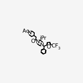 CC(=O)N1CCC(CC(=O)N2CCN([C@@H](c3ccccc3)c3ccc(C(F)(F)F)o3)C[C@@H]2C(C)C)CC1